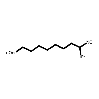 CCCCCCCCCCCCCCCC(N=O)C(C)C